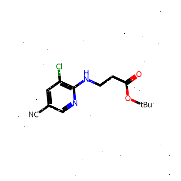 CC(C)(C)OC(=O)CCNc1ncc(C#N)cc1Cl